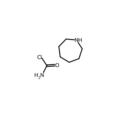 C1CCCNCC1.NC(=O)Cl